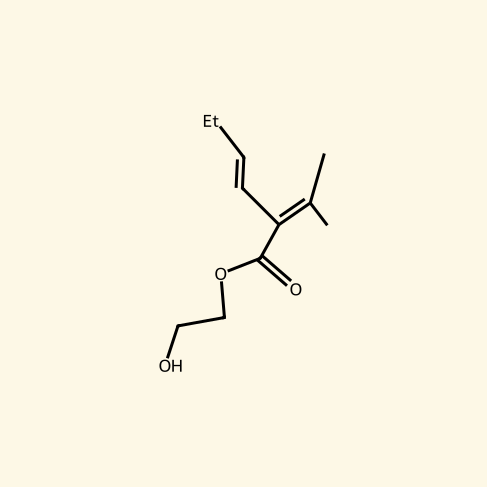 CCC=CC(C(=O)OCCO)=C(C)C